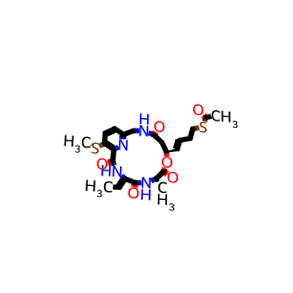 C/C=C1\NC(=O)c2nc(ccc2SC)CNC(=O)C[C@@H](/C=C/CCSC(C)=O)OC(=O)[C@@H](C)NC1=O